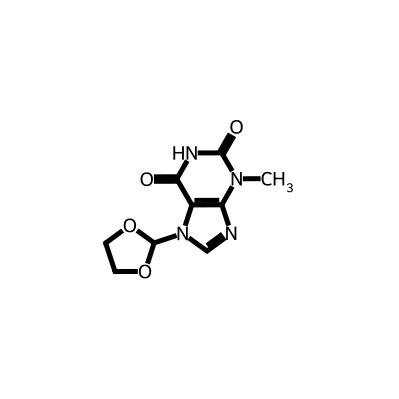 Cn1c(=O)[nH]c(=O)c2c1ncn2C1OCCO1